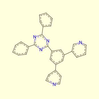 c1ccc(-c2nc(-c3ccccc3)nc(-c3cc(-c4ccncc4)cc(-c4cccnc4)c3)n2)cc1